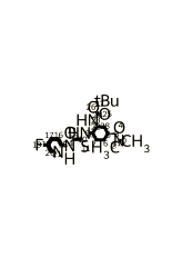 CN(C)C(=O)[C@H]1CCC(NC(=S)C(=O)Nc2ccc(F)cn2)C(NC(=O)OC(C)(C)C)C1